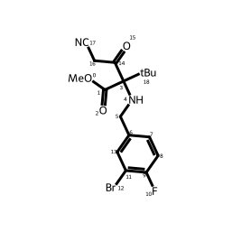 COC(=O)C(NCc1ccc(F)c(Br)c1)(C(=O)CC#N)C(C)(C)C